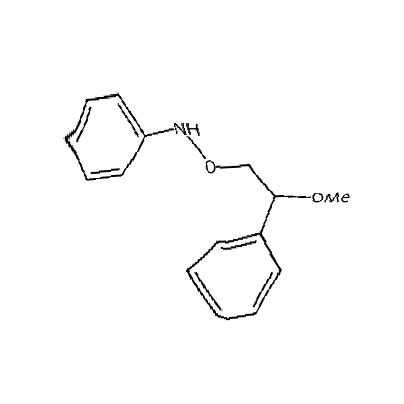 COC(CONc1ccccc1)c1ccccc1